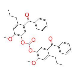 CCCc1cc(OC)c(OC(=O)Oc2cc(C(=O)c3ccccc3)c(CCC)cc2OC)cc1C(=O)c1ccccc1